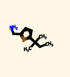 CCC(C)(C)c1ccc(CN)s1